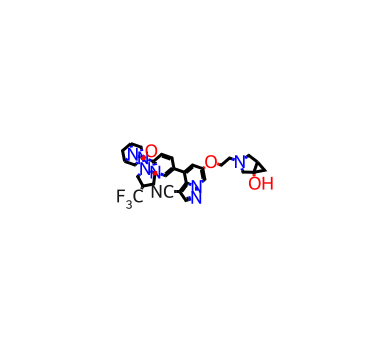 N#Cc1cnn2cc(OCCN3CC4CC4(O)C3)cc(-c3ccc(N4CC5CC(C4)N5C(=O)N4CCC(C(F)(F)F)C4)nc3)c12